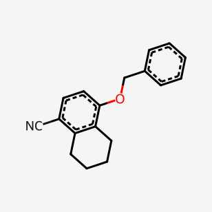 N#Cc1ccc(OCc2ccccc2)c2c1CCCC2